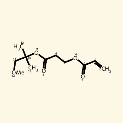 C=CC(=O)OCCC(=O)OC(C)(C)COC